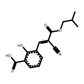 CC(C)COC(=O)/C(C#N)=C/c1cccc(C(=O)O)c1O